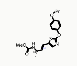 COC(=O)N[C@@H](C)/C=C/c1cnc(Oc2ccc(OC(C)C)cc2)s1